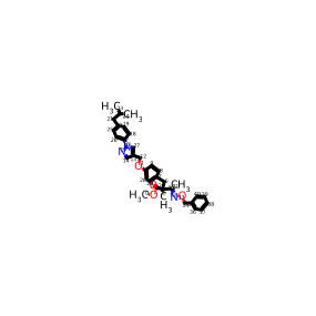 COC(=O)C(C)(Cc1ccc(OCc2cnn(-c3ccc(CC(C)C)cc3)c2)cc1)C(C)=NOCc1ccccc1